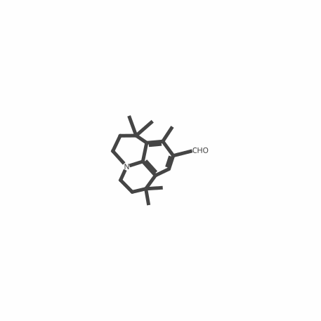 Cc1c(C=O)cc2c3c1C(C)(C)CCN3CCC2(C)C